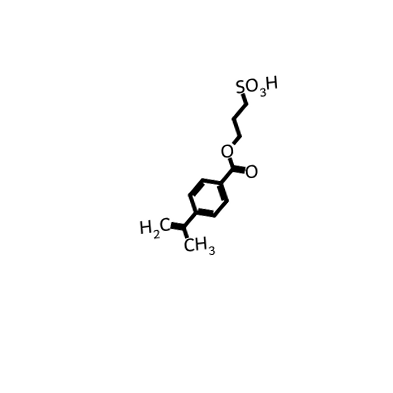 C=C(C)c1ccc(C(=O)OCCCS(=O)(=O)O)cc1